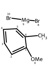 COc1ccccc1C.[Br][Mg][Br]